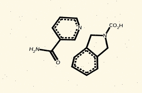 NC(=O)c1cccnc1.O=C(O)N1Cc2ccccc2C1